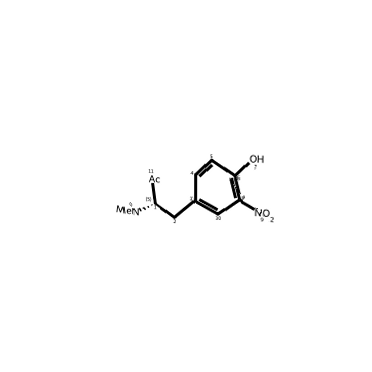 CN[C@@H](Cc1ccc(O)c([N+](=O)[O-])c1)C(C)=O